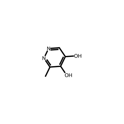 Cc1nncc(O)c1O